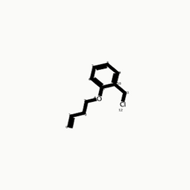 C=CCCOc1ccccc1CCl